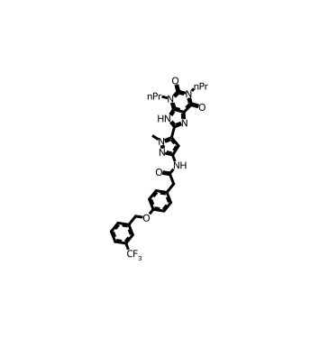 CCCn1c(=O)c2nc(-c3cc(NC(=O)Cc4ccc(OCc5cccc(C(F)(F)F)c5)cc4)nn3C)[nH]c2n(CCC)c1=O